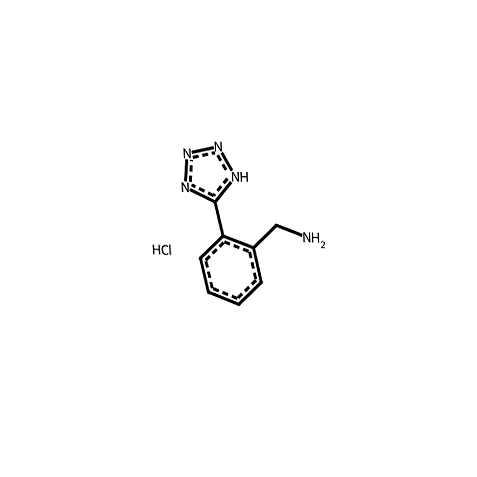 Cl.NCc1ccccc1-c1nnn[nH]1